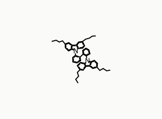 CCCCc1ccc2c(c1)c1cc(CCCC)ccc1n2-c1ccccc1-c1ccccc1-n1c2ccc(CCCC)cc2c2cc(CCCC)ccc21